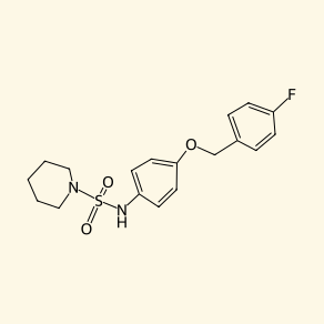 O=S(=O)(Nc1ccc(OCc2ccc(F)cc2)cc1)N1CCCCC1